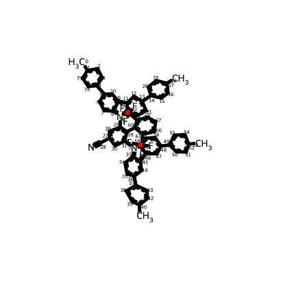 Cc1ccc(-c2ccc3c(c2)c2cc(-c4ccc(C)cc4)ccc2n3-c2cc(C#N)cc(-n3c4ccc(-c5ccc(C)cc5)cc4c4cc(-c5ccc(C)cc5)ccc43)c2-c2c(C(F)(F)F)cccc2C(F)(F)F)cc1